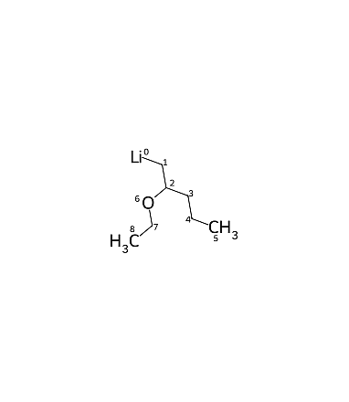 [Li][CH2]C(CCC)OCC